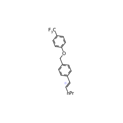 CCC/C=C/c1ccc(COc2ccc(C(F)(F)F)cc2)cc1